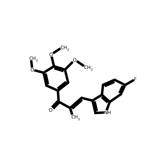 COc1cc(C(=O)/C(C)=C/c2c[nH]c3cc(F)ccc23)cc(OC)c1OC